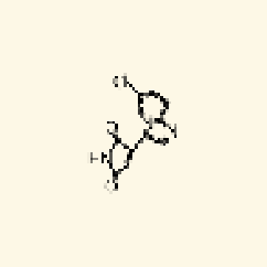 O=C1C=C(c2cnc3ccc(Cl)cn23)C(=O)N1